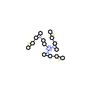 c1ccc2c(c1)sc1cc(-c3ccc4c5ccccc5n(-c5ccc6cc(-c7nc(-n8c9ccccc9c9ccc(-c%10ccc%11c(c%10)sc%10ccccc%10%11)cc98)nc(-n8c9ccccc9c9ccc(-c%10ccc%11c(c%10)sc%10ccccc%10%11)cc98)n7)ccc6c5)c4c3)ccc12